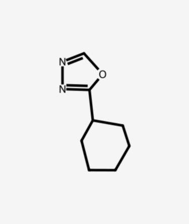 c1nnc(C2CCCCC2)o1